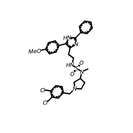 COc1ccc(-c2[nH]c(-c3ccccc3)nc2CCNS(=O)(=O)N(C)C2CCN(Cc3ccc(Cl)c(Cl)c3)C2)cc1